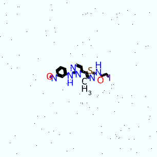 Cc1nc(NC(=O)CI)sc1-c1ccnc(Nc2cccc(N=O)c2)n1